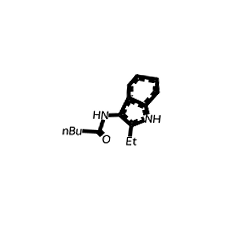 CCCCC(=O)Nc1c(CC)[nH]c2ccccc12